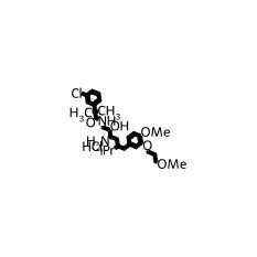 COCCCOc1cc(CC(CC(N)C(O)CNC(=O)C(C)(C)c2cccc(Cl)c2)C(C)C)ccc1OC.Cl